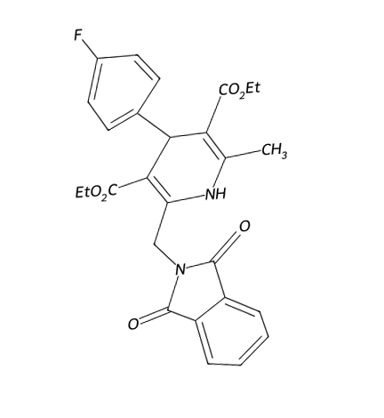 CCOC(=O)C1=C(C)NC(CN2C(=O)c3ccccc3C2=O)=C(C(=O)OCC)C1c1ccc(F)cc1